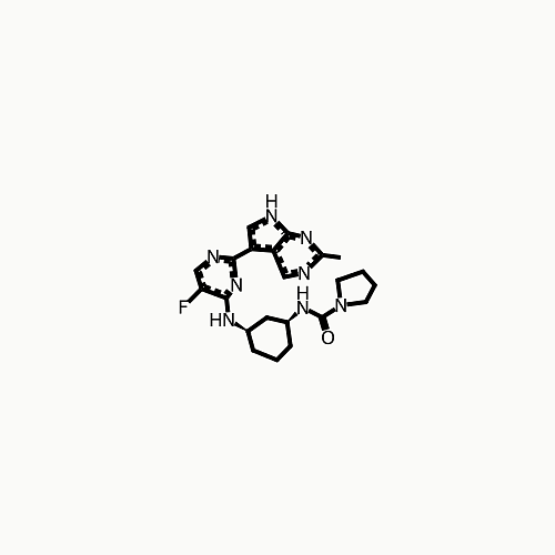 Cc1ncc2c(-c3ncc(F)c(N[C@@H]4CCC[C@H](NC(=O)N5CCCC5)C4)n3)c[nH]c2n1